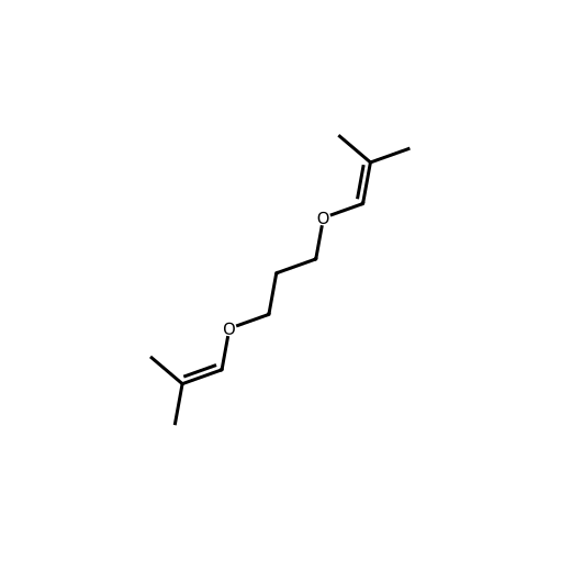 CC(C)=COCCCOC=C(C)C